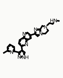 CNCCN1CCn2cc(-c3cnc4ccc(-c5c[nH]nc5-c5cccc(C)n5)nc4c3)nc2C1